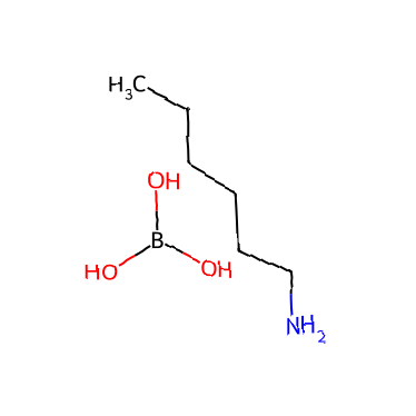 CCCCCCN.OB(O)O